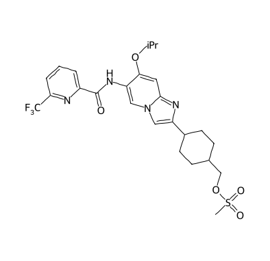 CC(C)Oc1cc2nc(C3CCC(COS(C)(=O)=O)CC3)cn2cc1NC(=O)c1cccc(C(F)(F)F)n1